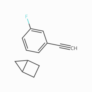 C#Cc1cccc(F)c1.C1CC2CC12